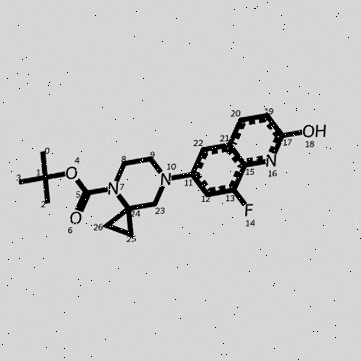 CC(C)(C)OC(=O)N1CCN(c2cc(F)c3nc(O)ccc3c2)CC12CC2